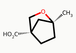 C[C@@]12CC[C@@](C(=O)O)(CO1)C2